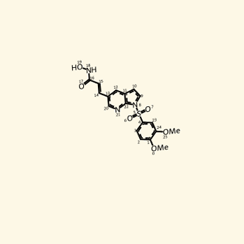 COc1ccc(S(=O)(=O)n2ccc3cc(C=CC(=O)NO)cnc32)cc1OC